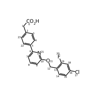 O=C(O)Cc1ccc(-c2cccc(OCc3ccc(Cl)cc3F)n2)cc1